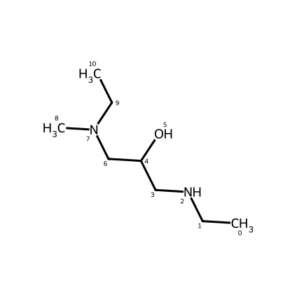 CCNCC(O)CN(C)CC